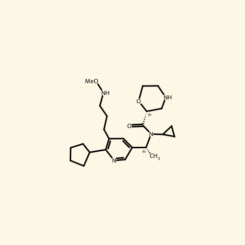 CONCCCc1cc([C@@H](C)N(C(=O)[C@H]2CNCCO2)C2CC2)cnc1C1CCCC1